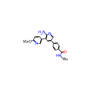 CCC(C)NC(=O)c1ccc(-c2cnc(N)c(-c3ccc(OC)nc3)c2)cc1